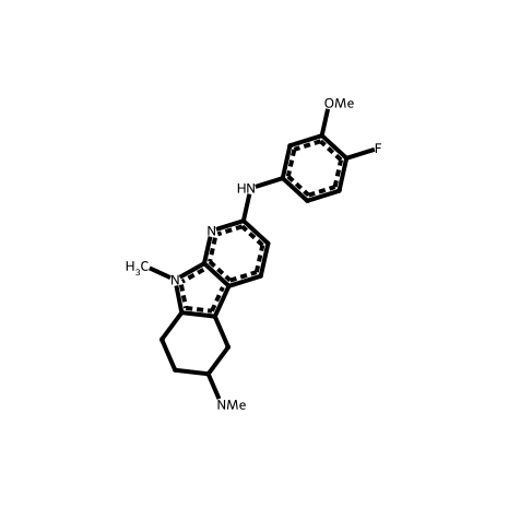 CNC1CCc2c(c3ccc(Nc4ccc(F)c(OC)c4)nc3n2C)C1